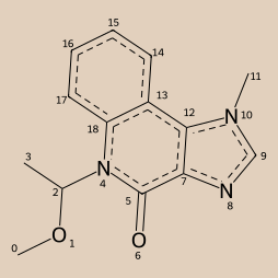 COC(C)n1c(=O)c2ncn(C)c2c2ccccc21